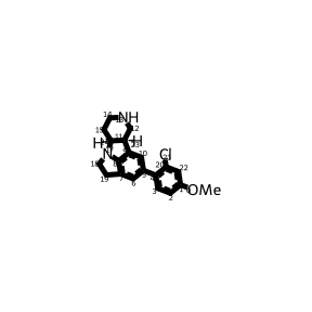 COc1ccc(-c2cc3c4c(c2)[C@@H]2CNCC[C@@H]2N4CC3)c(Cl)c1